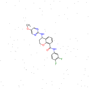 COc1cnc(NC2CCOc3c(C(=O)Nc4ccc(F)c(F)c4)cccc32)nc1